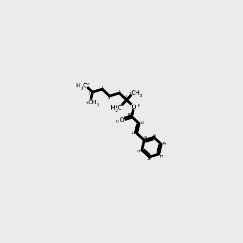 CC(C)CCCC(C)(C)OC(=O)C=Cc1ccccc1